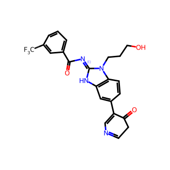 O=C1CC=NC=C1c1ccc2c(c1)[nH]/c(=N\C(=O)c1cccc(C(F)(F)F)c1)n2CCCO